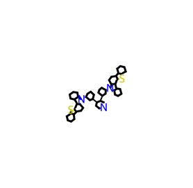 c1cc(-c2ccncc2-c2cccc(-n3c4ccccc4c4c5sc6ccccc6c5ccc43)c2)cc(-n2c3ccccc3c3c4sc5ccccc5c4ccc32)c1